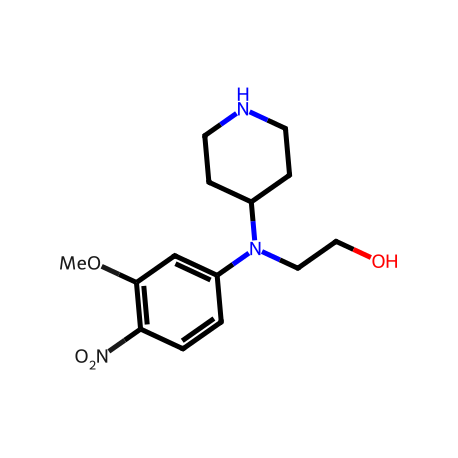 COc1cc(N(CCO)C2CCNCC2)ccc1[N+](=O)[O-]